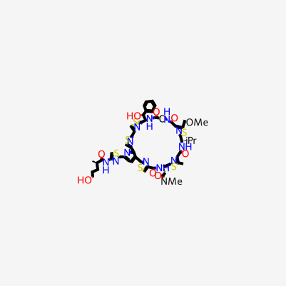 CNC(=O)C[C@@H]1NC(=O)c2csc(n2)-c2ccc(-c3nc(NC(=O)[C@H](C)CCCO)cs3)nc2-c2csc(n2)-c2csc(n2)[C@H]([C@@H](O)c2ccccc2)NC(=O)CNC(=O)c2nc(sc2COC)[C@H](C(C)C)NC(=O)c2nc1sc2C